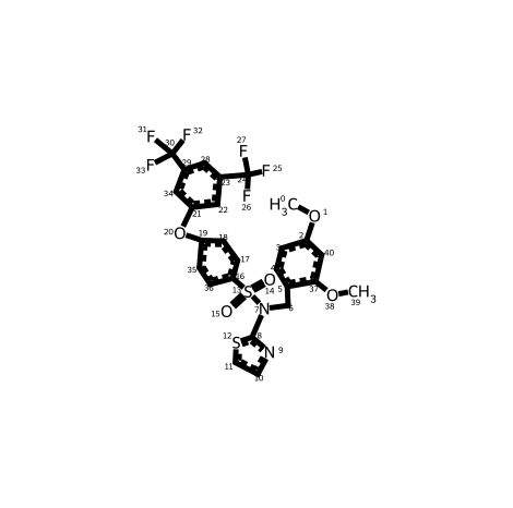 COc1ccc(CN(c2nccs2)S(=O)(=O)c2ccc(Oc3cc(C(F)(F)F)cc(C(F)(F)F)c3)cc2)c(OC)c1